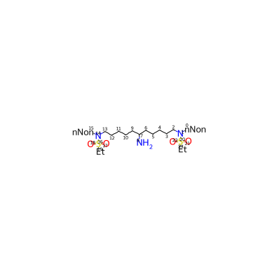 CCCCCCCCCN(CCCCCC(N)CCCCCN(CCCCCCCCC)S(=O)(=O)CC)S(=O)(=O)CC